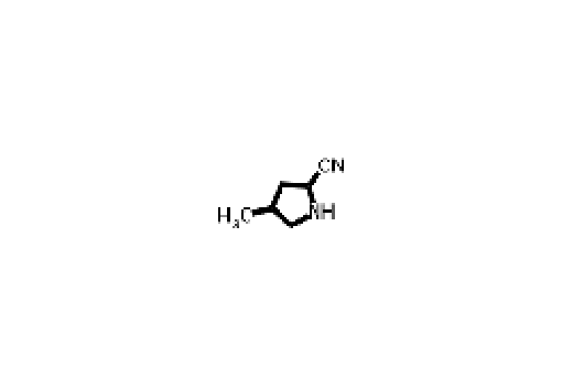 CC1CNC(C#N)C1